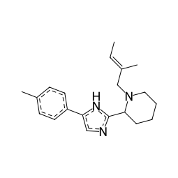 C/C=C(\C)CN1CCCCC1c1ncc(-c2ccc(C)cc2)[nH]1